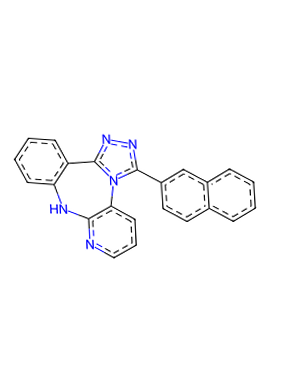 c1ccc2c(c1)Nc1ncccc1-n1c(-c3ccc4ccccc4c3)nnc1-2